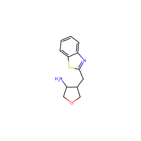 NC1COCC1Cc1nc2ccccc2s1